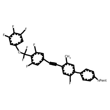 CCCCCc1ccc(-c2cc(C)c(C#Cc3cc(F)c(C(F)(F)Oc4cc(F)c(F)c(F)c4)c(F)c3)cc2F)cc1